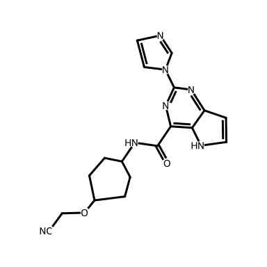 N#CCOC1CCC(NC(=O)c2nc(-n3ccnc3)nc3cc[nH]c23)CC1